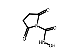 O=C1CCC(=O)N1C(=O)NO